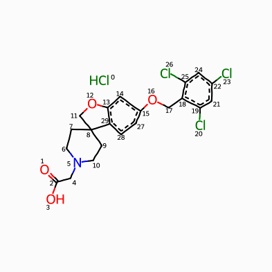 Cl.O=C(O)CN1CCC2(CC1)COc1cc(OCc3c(Cl)cc(Cl)cc3Cl)ccc12